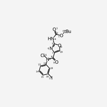 CC(C)(C)OC(=O)Nc1nc(C(=O)N(Cl)c2cccc(I)c2)co1